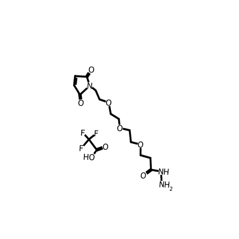 NNC(=O)CCOCCOCCOCCN1C(=O)C=CC1=O.O=C(O)C(F)(F)F